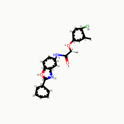 Cc1cc(O[C@H](C)C(=O)Nc2ccc3oc(-c4ccccc4)nc3c2)ccc1Cl